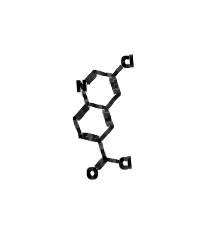 O=C(Cl)c1ccc2ncc(Cl)cc2c1